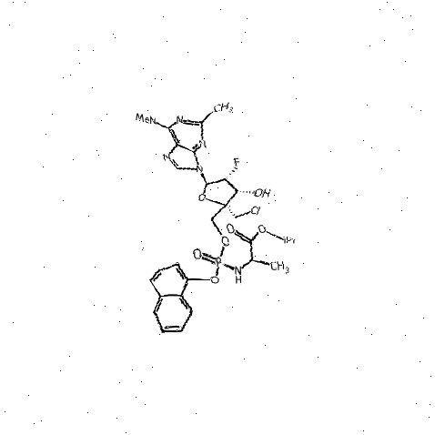 CNc1nc(C)nc2c1ncn2[C@@H]1O[C@](CCl)(CO[P@](=O)(N[C@H](C)C(=O)OC(C)C)Oc2cccc3ccccc23)[C@@H](O)[C@H]1F